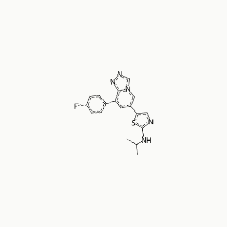 CC(C)Nc1ncc(-c2cc(-c3ccc(F)cc3)c3nncn3c2)s1